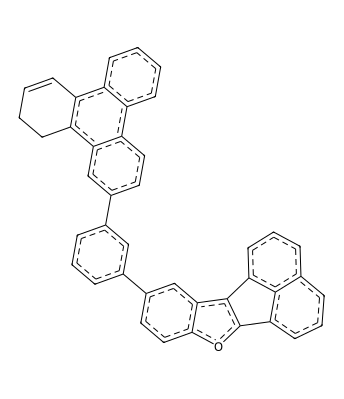 C1=Cc2c(c3cc(-c4cccc(-c5ccc6oc7c(c6c5)-c5cccc6cccc-7c56)c4)ccc3c3ccccc23)CC1